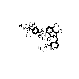 COc1cc(CN2C(=O)c3c(Cl)ccc(NS(=O)(=O)c4ccc(C(C)(C)C)cc4)c3C2=O)ccn1